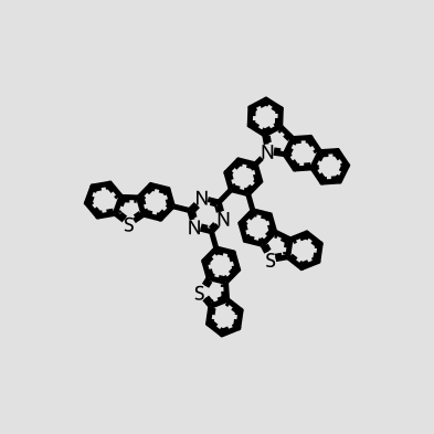 c1ccc2cc3c(cc2c1)c1ccccc1n3-c1ccc(-c2nc(-c3ccc4c(c3)sc3ccccc34)nc(-c3ccc4c(c3)sc3ccccc34)n2)c(-c2ccc3sc4ccccc4c3c2)c1